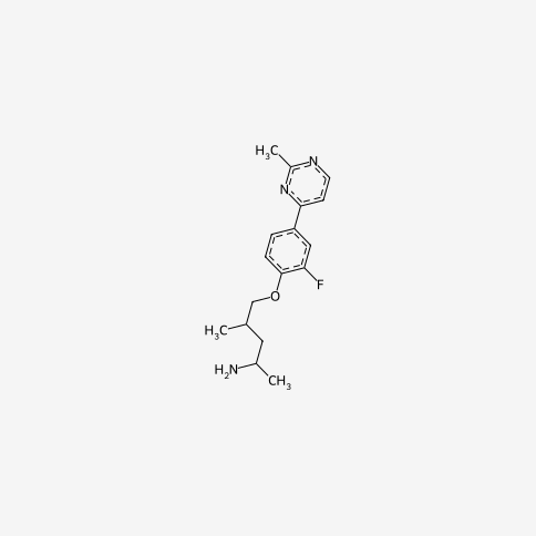 Cc1nccc(-c2ccc(OCC(C)CC(C)N)c(F)c2)n1